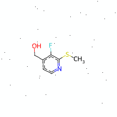 CSc1nccc(CO)c1F